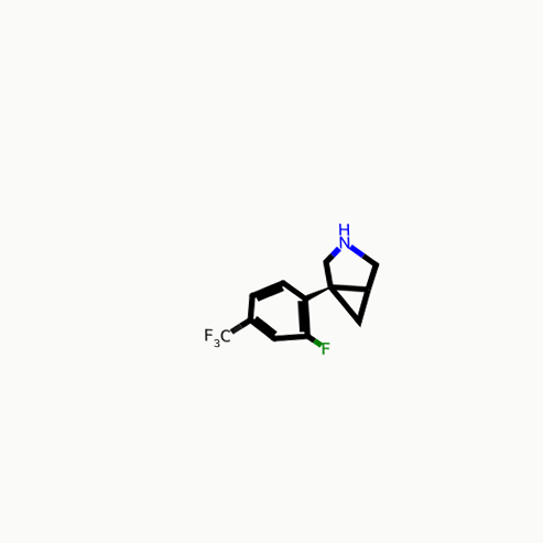 Fc1cc(C(F)(F)F)ccc1[C@@]12CNCC1C2